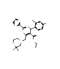 CCOC(=O)C1=C(CN2CCOC(C)(C)C2)NC(c2nccs2)=NC1c1ccc(Cl)cc1Cl